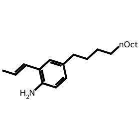 C/C=C/c1cc(CCCCCCCCCCCC)ccc1N